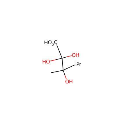 CC(C)C(C)(O)C(O)(O)C(=O)O